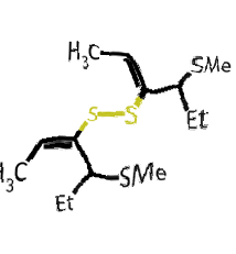 CC=C(SSC(=CC)C(CC)SC)C(CC)SC